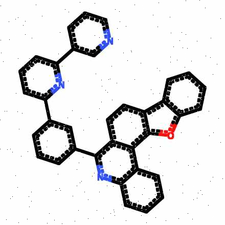 c1cncc(-c2cccc(-c3cccc(-c4nc5ccccc5c5c4ccc4c6ccccc6oc45)c3)n2)c1